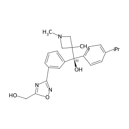 CC(C)c1ccc([C@](O)(c2cccc(-c3noc(CO)n3)c2)C2(C)CN(C)C2)cc1